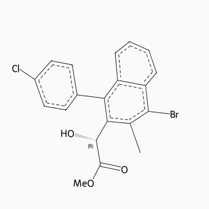 COC(=O)[C@H](O)c1c(C)c(Br)c2ccccc2c1-c1ccc(Cl)cc1